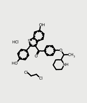 CC(Oc1ccc(C(=O)c2c(-c3ccc(O)cc3)sc3cc(O)ccc23)cc1)C1CCCCN1.Cl.ClCCCl